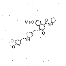 COc1ccc2c(C(=O)NC3CCCC3)cc(=O)n(CCN3CCC(NCc4ccc5c(c4)OCCO5)CC3)c2c1